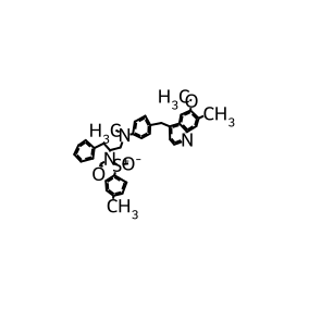 COc1cc2c(Cc3ccc(N(C)CC(Cc4ccccc4)N(C=O)[S+]([O-])c4ccc(C)cc4)cc3)ccnc2cc1C